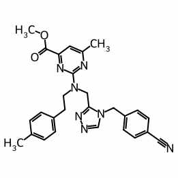 COC(=O)c1cc(C)nc(N(CCc2ccc(C)cc2)Cc2nncn2Cc2ccc(C#N)cc2)n1